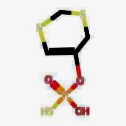 O=P(O)(S)OC1=CSCSC1